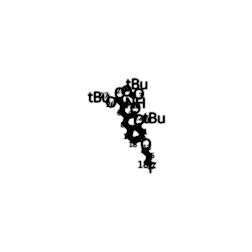 CC(C)(C)OC(=O)NC(CC(Cc1ccc(OCCC[18F])cc1)C(=O)OC(C)(C)C)C(=O)OC(C)(C)C